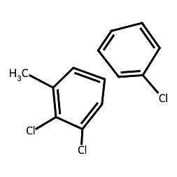 Cc1cccc(Cl)c1Cl.Clc1ccccc1